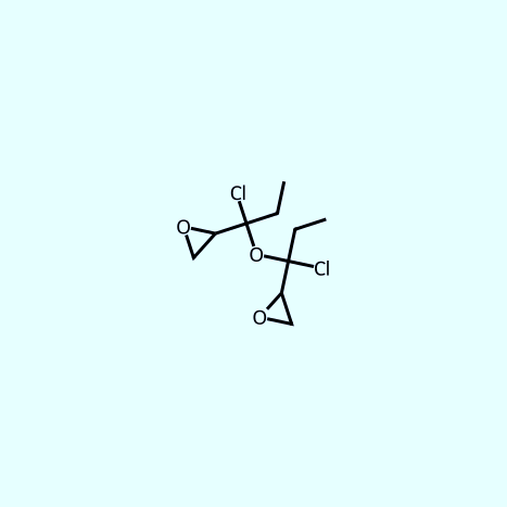 CCC(Cl)(OC(Cl)(CC)C1CO1)C1CO1